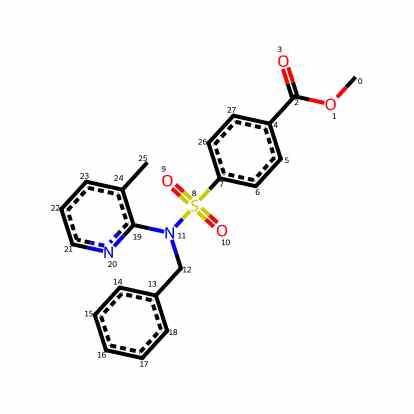 COC(=O)c1ccc(S(=O)(=O)N(Cc2ccccc2)c2ncccc2C)cc1